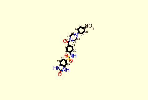 O=C(c1ccc(NS(=O)(=O)c2ccc3[nH]c(=O)[nH]c3c2)cc1)N1CCN(c2ccc([N+](=O)[O-])cc2)CC1